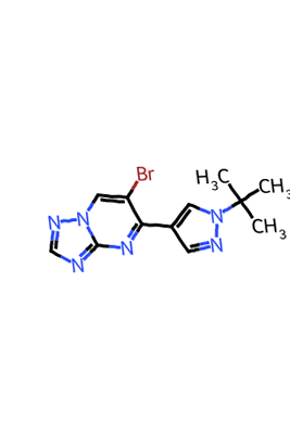 CC(C)(C)n1cc(-c2nc3ncnn3cc2Br)cn1